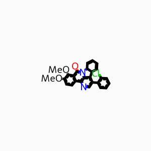 COc1ccc2c(c1OC)c(=O)n1c3c(c(-c4ccccc4Cl)cnc23)C2C=CC=CC21